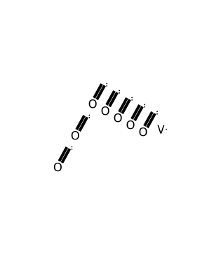 [C]=O.[C]=O.[C]=O.[C]=O.[C]=O.[C]=O.[C]=O.[V]